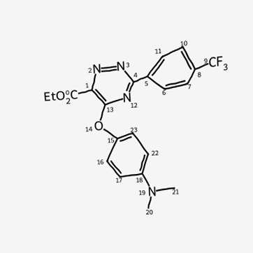 CCOC(=O)c1nnc(-c2ccc(C(F)(F)F)cc2)nc1Oc1ccc(N(C)C)cc1